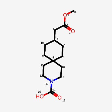 COC(=O)CC1CCC2(CC1)CCN(C(=O)O)CC2